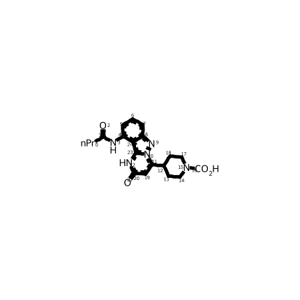 CCCC(=O)Nc1cccc2nn3c(C4CCN(C(=O)O)CC4)cc(=O)[nH]c3c12